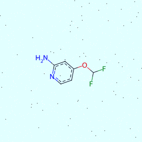 Nc1[c]c(OC(F)F)ccn1